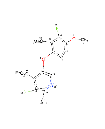 CCOC(=O)c1c(Oc2ccc(OC(F)(F)F)c(F)c2OC)cnc(C(F)(F)F)c1F